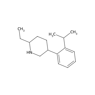 CCC1CCC(c2ccccc2C(C)C)CN1